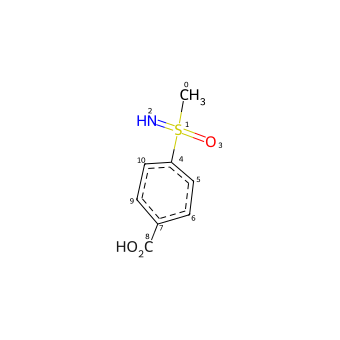 CS(=N)(=O)c1ccc(C(=O)O)cc1